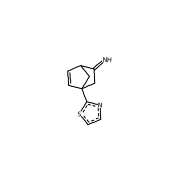 N=C1CC2(c3nccs3)C=CC1C2